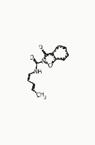 C/C=C/C=C\NC(=O)n1oc2ccccc2c1=O